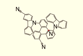 N#Cc1ccc2c(c1)c1ccccc1n2-c1cccc(C#N)c1-c1cccc(C#N)c1-c1cccc(-n2c3ccccc3c3ccccc32)c1